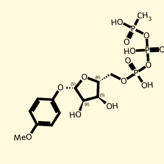 COc1ccc(O[C@@H]2O[C@H](COP(=O)(O)OP(=O)(O)OP(C)(=O)O)[C@@H](O)[C@H]2O)cc1